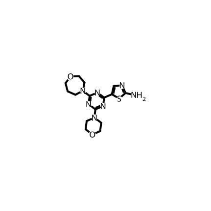 Nc1ncc(-c2nc(N3CCCOCC3)nc(N3CCOCC3)n2)s1